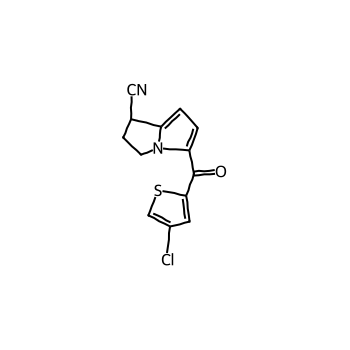 N#CC1CCn2c(C(=O)c3cc(Cl)cs3)ccc21